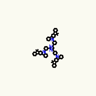 CC1(C)c2ccccc2-c2cc3c4ccccc4n(-c4ccc(-c5cc(-c6cccc(-n7c8ccccc8c8cc9c(cc87)C(C)(C)c7ccccc7-9)c6)nc(-c6cccc(-n7c8ccccc8c8cc9c(cc87)C(C)(C)c7ccccc7-9)c6)n5)cc4)c3cc21